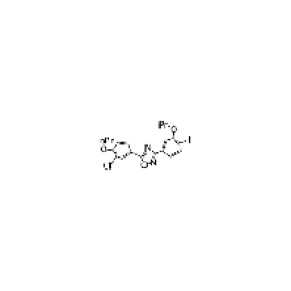 CCCOc1ccc(-c2nc(-c3ccc(I)c(OC(C)C)c3)no2)cc1Cl